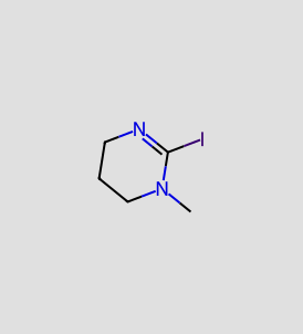 CN1CCCN=C1I